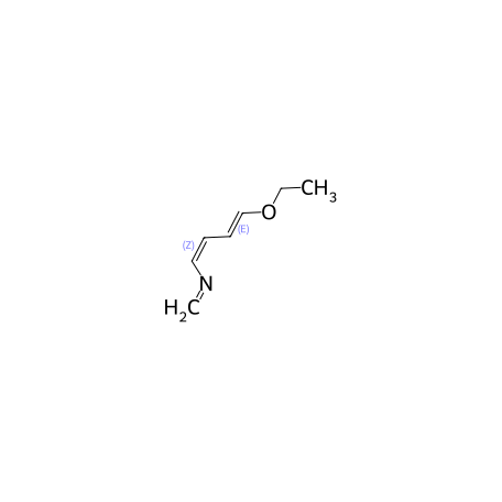 C=N/C=C\C=C\OCC